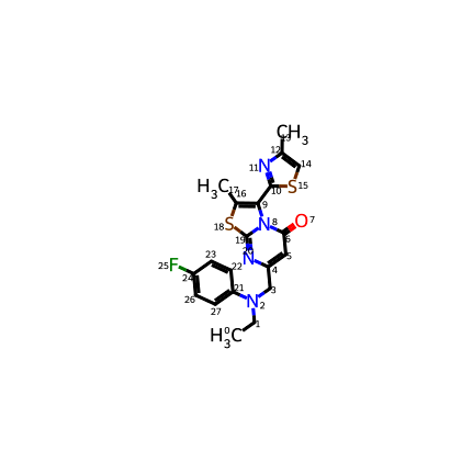 CCN(Cc1cc(=O)n2c(-c3nc(C)cs3)c(C)sc2n1)c1ccc(F)cc1